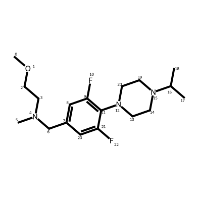 COCCN(C)Cc1cc(F)c(N2CCN(C(C)C)CC2)c(F)c1